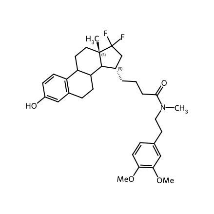 COc1ccc(CCN(C)C(=O)CCC[C@H]2CC(F)(F)[C@@]3(C)CCC4c5ccc(O)cc5CCC4C23)cc1OC